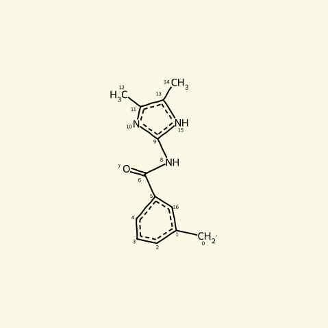 [CH2]c1cccc(C(=O)Nc2nc(C)c(C)[nH]2)c1